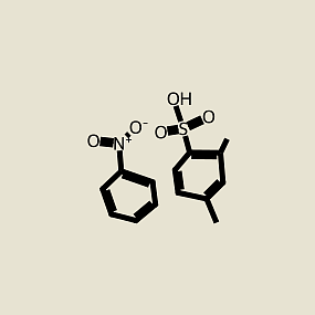 Cc1ccc(S(=O)(=O)O)c(C)c1.O=[N+]([O-])c1ccccc1